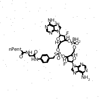 BP1(=O)OC[C@H]2O[C@@H](n3cnc4c(N)ncnc43)[C@H](F)[C@@H]2OP(=O)(SCc2ccc(NC(=O)CNC(=O)CCCCC)cc2)OC[C@H]2O[C@@H](n3cnc4c(N)ncnc43)[C@H](F)[C@@H]2O1